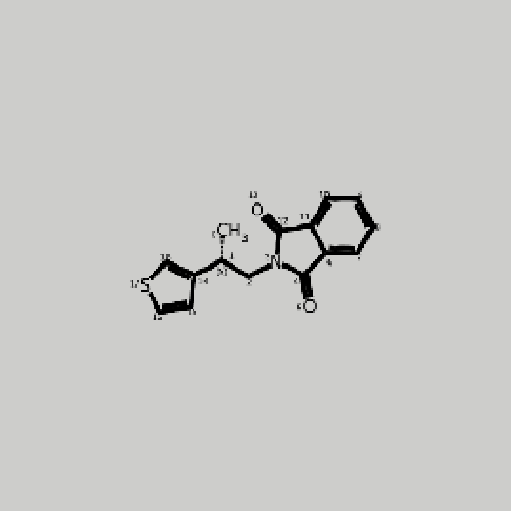 C[C@H](CN1C(=O)c2ccccc2C1=O)c1ccsc1